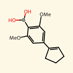 COc1cc(C2=CCCC2)cc(OC)c1B(O)O